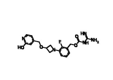 N=C(N)NC(=O)OCc1cccc(N2CC(OCc3ccnc(O)c3)C2)c1F